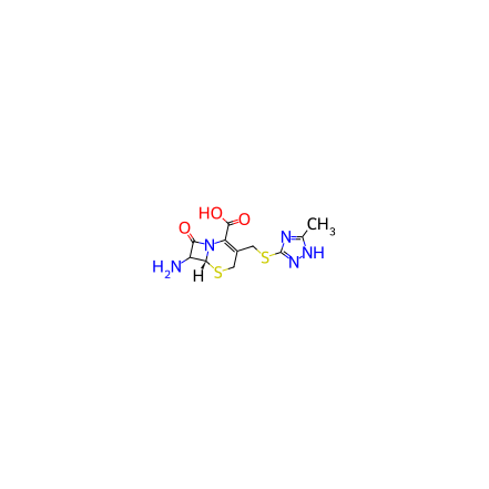 Cc1nc(SCC2=C(C(=O)O)N3C(=O)C(N)[C@H]3SC2)n[nH]1